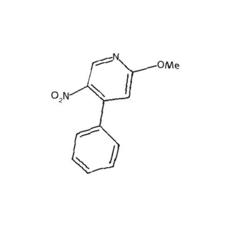 COc1cc(-c2ccccc2)c([N+](=O)[O-])cn1